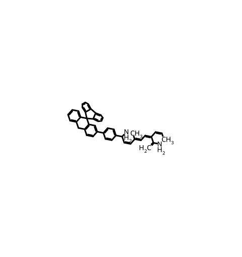 C=C(N)C(/C=C\C)=C\C=C(C)\C=C/C(N)c1ccc(-c2ccc3c(c2)C2(c4ccccc4C3)c3ccccc3-c3ccccc32)cc1